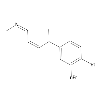 CCCc1cc(C(C)/C=C\C=N/C)ccc1CC